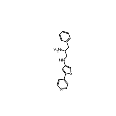 N[C@H](CNc1csc(-c2ccncc2)c1)Cc1ccccc1